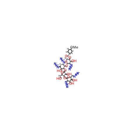 COc1ccc(C2OCC3OC(OC4C(N=[N+]=[N-])C[C@@H](N=[N+]=[N-])C(O)C4O[C@@H]4OC(CO)C(O[C@H]5OC(CN=[N+]=[N-])[C@@H](O)C(O)C5N=[N+]=[N-])C4O)C(N=[N+]=[N-])C(O)C3O2)cc1